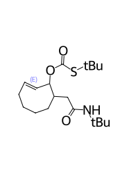 CC(C)(C)NC(=O)CC1CCCC/C=C/C1OC(=O)SC(C)(C)C